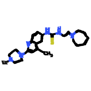 CCN1CCN(c2cc(C)c3cc(NC(=S)NCCN4CCCCCC4)ccc3n2)CC1